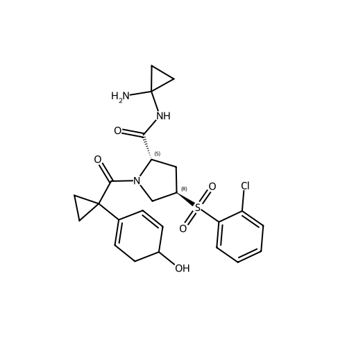 NC1(NC(=O)[C@@H]2C[C@@H](S(=O)(=O)c3ccccc3Cl)CN2C(=O)C2(C3=CCC(O)C=C3)CC2)CC1